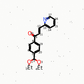 CCOC(OCC)c1ccc(C(=O)C=Cc2ccccn2)cc1